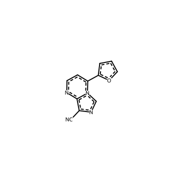 N#Cc1ncn2c(-c3ccco3)ccnc12